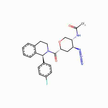 [N-]=[N+]=N[C@H]1C[C@H](C(=O)N2CCc3ccccc3[C@@H]2c2ccc(F)cc2)OC[C@@H]1NC(=O)C(F)(F)F